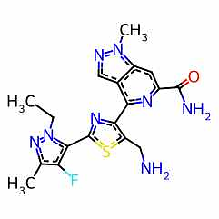 CCn1nc(C)c(F)c1-c1nc(-c2nc(C(N)=O)cc3c2cnn3C)c(CN)s1